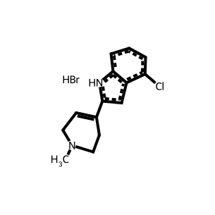 Br.CN1CC=C(c2cc3c(Cl)cccc3[nH]2)CC1